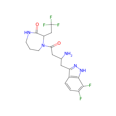 NC(CC(=O)N1CCCNC(=O)C1CC(F)(F)F)Cc1n[nH]c2c(F)c(F)ccc12